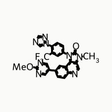 COc1ncc(-c2ccc3ncc4c(c3c2)n(-c2ccc(-n3cncn3)c(C(F)(F)F)c2)c(=O)n4C)cn1